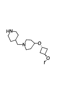 IO[C@H]1C[C@H](OC2CCN(CC3CCNCC3)CC2)C1